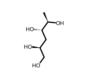 C[C@@H](O)[C@@H](O)C[C@H](O)CO